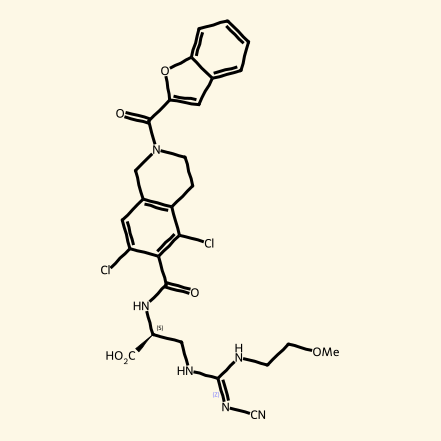 COCCN/C(=N\C#N)NC[C@H](NC(=O)c1c(Cl)cc2c(c1Cl)CCN(C(=O)c1cc3ccccc3o1)C2)C(=O)O